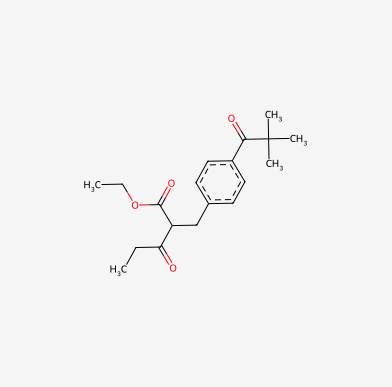 CCOC(=O)C(Cc1ccc(C(=O)C(C)(C)C)cc1)C(=O)CC